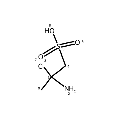 CC(N)(Cl)CS(=O)(=O)O